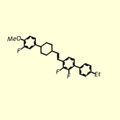 CCc1ccc(-c2ccc(/C=C/C3CCC(c4ccc(OC)c(F)c4)CC3)c(F)c2F)cc1